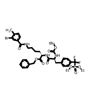 CCOP(=O)(OCC)C(F)(F)c1ccc(C[C@H](NC(=O)OC(C)(C)C)C(=O)N[C@@H](CCCCNC(=O)c2ccc(C)c(Br)c2)C(=O)OCc2ccccc2)cc1